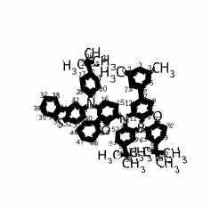 Cc1cc(C)cc(-c2cc3c4c(c2)N(c2ccc(N(c5ccc(C(C)(C)C)cc5)c5ccc6sc7ccccc7c6c5)c5c2oc2ccccc25)c2ccc(C(C)(C)C)cc2B4c2cc(C(C)(C)C)ccc2O3)c1